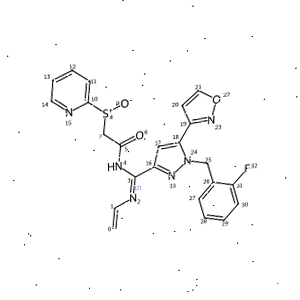 C=C/N=C(\NC(=O)C[S+]([O-])c1ccccn1)c1cc(-c2ccon2)n(Cc2ccccc2F)n1